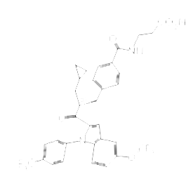 O=C(O)CCNC(=O)c1ccc(C[C@H](CC2CC2)C(=O)c2cc3cc(OC(F)(F)F)ccc3n2-c2ccc(C(F)(F)F)cc2)cc1